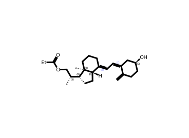 C=C1CC[C@H](O)C/C1=C/C=C1\CCC[C@]2(C)[C@@H]([C@H](C)COC(=O)CC)CC[C@@H]12